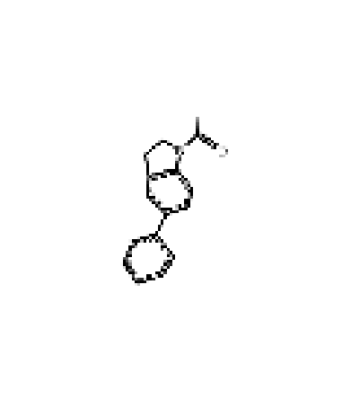 CC(=O)N1CCc2cc(-c3[c]cccc3)ccc21